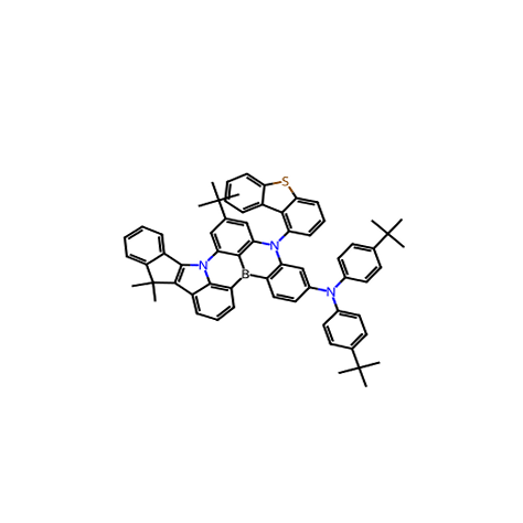 CC(C)(C)c1ccc(N(c2ccc(C(C)(C)C)cc2)c2ccc3c(c2)N(c2cccc4sc5ccccc5c24)c2cc(C(C)(C)C)cc4c2B3c2cccc3c5c(n-4c23)-c2ccccc2C5(C)C)cc1